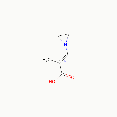 C/C(=C\N1CC1)C(=O)O